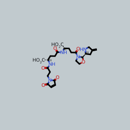 C=C1CN[C@H](C2OCCN2C(=O)CC[C@H](NC(=O)CC[C@H](NC(=O)CCN2C(=O)C=CC2=O)C(=O)O)C(=O)O)C1